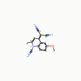 COc1ccc2c(c1)C(=C(C#N)C#N)C=C(C)N2C#N